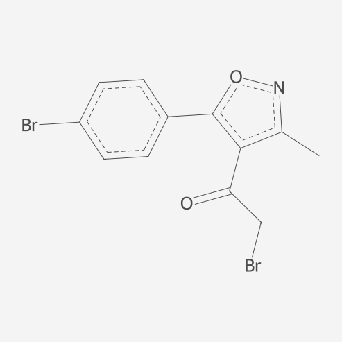 Cc1noc(-c2ccc(Br)cc2)c1C(=O)CBr